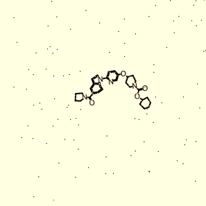 O=C(OC1CCCCC1)N1CCC(Oc2ccc(-n3ccc4cc(C(=O)N5CCCC5)ccc43)nc2)CC1